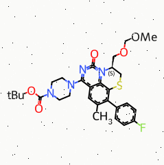 COCOC[C@H]1CSc2c(-c3ccc(F)cc3)c(C)cc3c(N4CCN(C(=O)OC(C)(C)C)CC4)nc(=O)n1c23